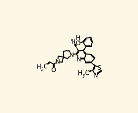 C=CC(=O)N1CC2(CCN(c3nc4cc(-c5scnc5C)ccc4c(-c4ccccc4O)c3C#N)C2)C1